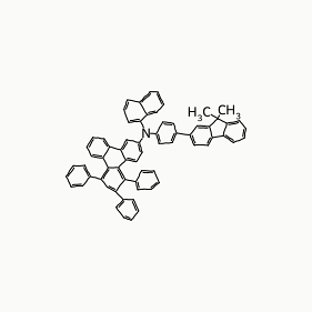 CC1(C)c2ccccc2-c2ccc(-c3ccc(N(c4ccc5c(c4)c4ccccc4c4c(-c6ccccc6)cc(-c6ccccc6)c(-c6ccccc6)c54)c4cccc5ccccc45)cc3)cc21